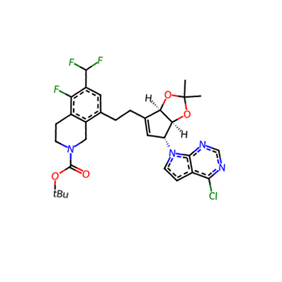 CC(C)(C)OC(=O)N1CCc2c(F)c(C(F)F)cc(CCC3=C[C@@H](n4ccc5c(Cl)ncnc54)[C@@H]4OC(C)(C)O[C@H]34)c2C1